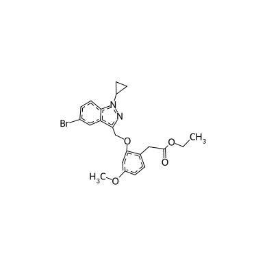 CCOC(=O)Cc1ccc(OC)cc1OCc1nn(C2CC2)c2ccc(Br)cc12